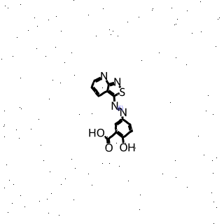 O=C(O)c1cc(/N=N/c2snc3ncccc23)ccc1O